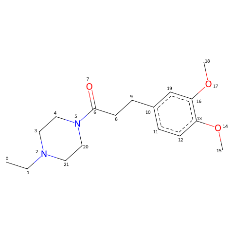 CCN1CCN(C(=O)CCc2ccc(OC)c(OC)c2)CC1